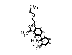 COCOCCn1nc(C)c2cc(C3(N)C=CC=CC3N)ccc21